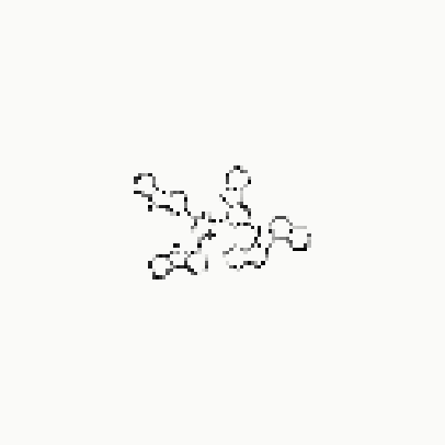 c1ccc2c(c1)ccc1c2c2ccc3ccccc3c2n1-c1cc(-c2nc(-c3ccc4c(c3)oc3ccccc34)cc(-c3cccc4c3oc3ccccc34)n2)c2sc3ccccc3c2c1